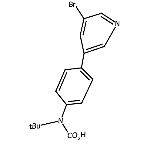 CC(C)(C)N(C(=O)O)c1ccc(-c2cncc(Br)c2)cc1